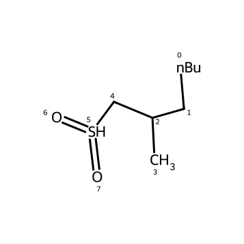 CCCCCC(C)C[SH](=O)=O